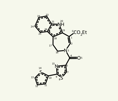 CCOC(=O)C1=CN(C(=O)c2csc(-c3cccs3)n2)CCc2c1[nH]c1ccccc21